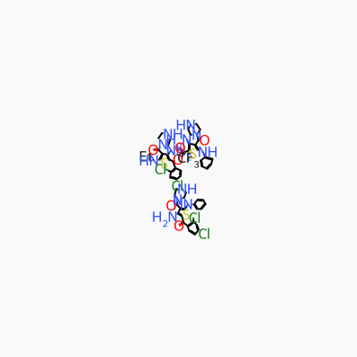 CCNc1sc(C(=O)c2ccc(Cl)cc2Cl)c(N)c1C(=O)N1CCNCC1.Nc1c(C(=O)C(F)(F)F)sc(Nc2ccccc2)c1C(=O)N1CCNCC1.Nc1c(C(=O)c2ccc(Cl)cc2Cl)sc(Nc2ccccc2)c1C(=O)N1CCNCC1